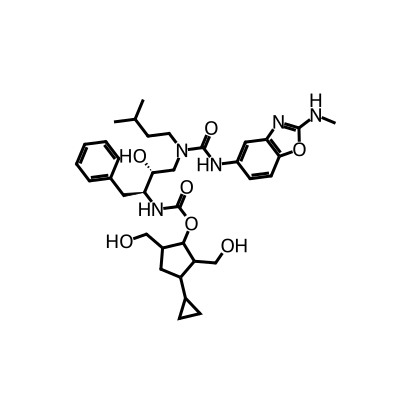 CNc1nc2cc(NC(=O)N(CCC(C)C)C[C@@H](O)[C@H](Cc3ccccc3)NC(=O)OC3C(CO)CC(C4CC4)C3CO)ccc2o1